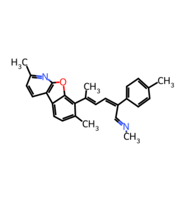 C/N=C/C(=C\C=C(/C)c1c(C)ccc2c1oc1nc(C)ccc12)c1ccc(C)cc1